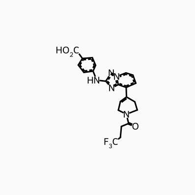 O=C(O)c1ccc(Nc2nc3c(C4=CCN(C(=O)CCC(F)(F)F)CC4)cccn3n2)cc1